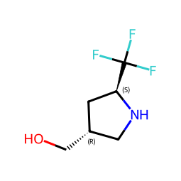 OC[C@H]1CN[C@H](C(F)(F)F)C1